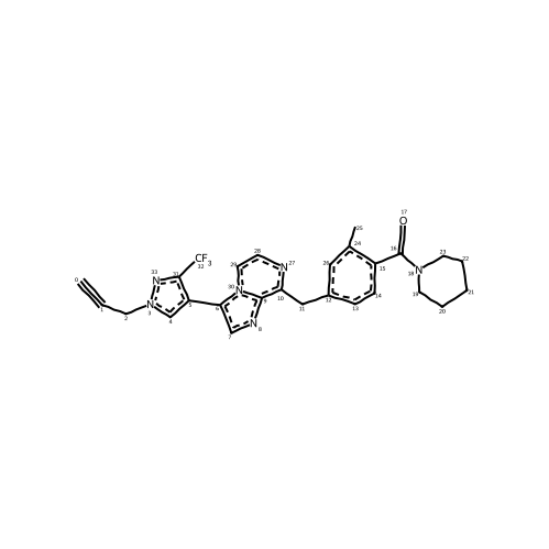 C#CCn1cc(-c2cnc3c(Cc4ccc(C(=O)N5CCCCC5)c(C)c4)nccn23)c(C(F)(F)F)n1